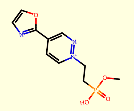 COP(=O)(O)CC[n+]1ccc(-c2ncco2)cn1